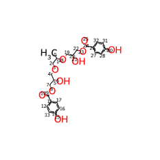 CC(COCC(O)COC(=O)c1ccc(O)cc1)OCC(O)COC(=O)c1ccc(O)cc1